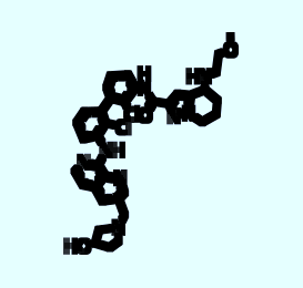 COCCNC1CCCn2nc(C(=O)Nc3cccc(-c4cccc(Nc5nccc6cc(CN7CC[C@@H](O)C7)cnc56)c4Cl)c3Cl)cc21